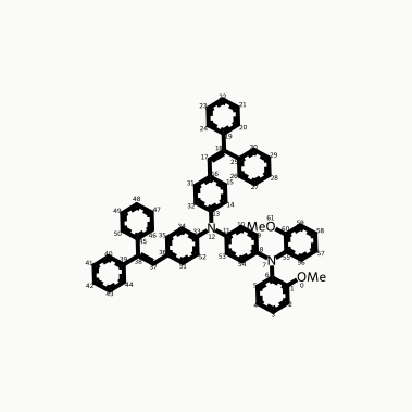 COc1ccccc1N(c1ccc(N(c2ccc(C=C(c3ccccc3)c3ccccc3)cc2)c2ccc(C=C(c3ccccc3)c3ccccc3)cc2)cc1)c1ccccc1OC